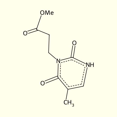 COC(=O)CCn1c(=O)[nH]cc(C)c1=O